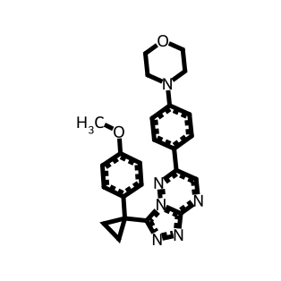 COc1ccc(C2(c3nnc4ncc(-c5ccc(N6CCOCC6)cc5)nn34)CC2)cc1